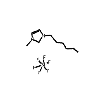 CCCCCCN1C=CN(C)C1.[F][Sb-]([F])([F])([F])([F])[F]